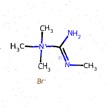 C/N=C(\N)[N+](C)(C)C.[Br-]